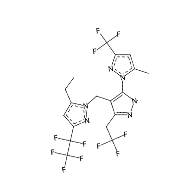 CCc1cc(C(F)(F)C(F)(F)F)nn1CC1=C(n2nc(C(F)(F)F)cc2C)[N]N=C1CC(F)(F)F